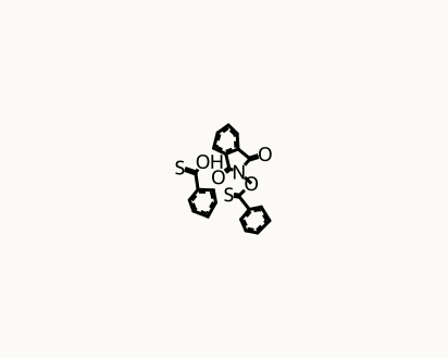 O=C1c2ccccc2C(=O)N1OC(=S)c1ccccc1.OC(=S)c1ccccc1